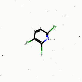 Fc1ccc(Br)nc1F